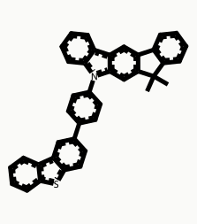 CC1(C)c2ccccc2-c2cc3c4ccccc4n(-c4ccc(-c5ccc6sc7ccccc7c6c5)cc4)c3cc21